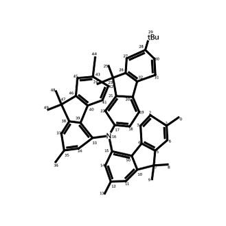 Cc1ccc2c(c1)C(C)(C)c1cc(C)cc(N(c3ccc4c(c3)C(C)(C)c3cc(C(C)(C)C)ccc3-4)c3cc(C)cc4c3-c3ccc(C)cc3C4(C)C)c1-2